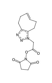 O=C(Cn1nnc2c1CC/C=C/CC2)ON1C(=O)CCC1=O